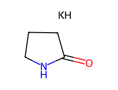 O=C1CCCN1.[KH]